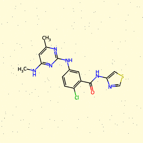 CNc1cc(C)nc(Nc2ccc(Cl)c(C(=O)Nc3cscn3)c2)n1